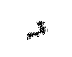 CC[C@H]1O[C@@H](n2cc(CCC(=O)NCCNC(=O)C(F)(F)F)c(=O)[nH]c2=O)CC1O